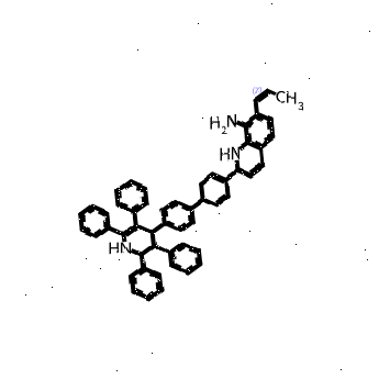 C/C=C\c1ccc2c(c1N)NC(C1=CCC(c3ccc(C4C(c5ccccc5)=C(c5ccccc5)NC(c5ccccc5)C4c4ccccc4)cc3)C=C1)C=C2